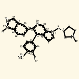 CN1CC[C@@H](Cn2ccc3c(-c4ccc(C#N)c(F)c4)c(-c4ccc5c(cnn5C)c4)ncc32)C1